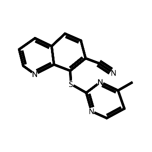 Cc1ccnc(Sc2c(C#N)ccc3cccnc23)n1